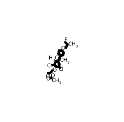 CC(=O)OC(CCl)COc1c(Cl)cc(C(C)(C)c2ccc(OCC(C)CF)cc2)cc1Cl